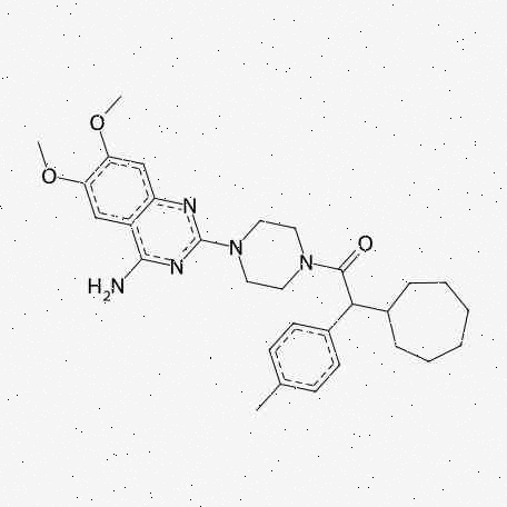 COc1cc2nc(N3CCN(C(=O)C(c4ccc(C)cc4)C4CCCCCC4)CC3)nc(N)c2cc1OC